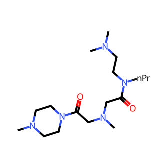 CCCN(CCN(C)C)C(=O)CN(C)CC(=O)N1CCN(C)CC1